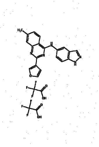 Cc1ccc2c(Nc3ccc4[nH]ncc4c3)nc(-c3ccoc3)nc2c1.O=C(O)C(F)(F)F.O=C(O)C(F)(F)F